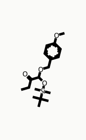 CCC(=O)C(OCc1ccc(OC)cc1)O[Si](C)(C)C(C)(C)C